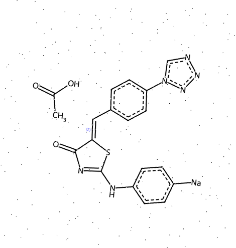 CC(=O)O.O=C1N=C(Nc2cc[c]([Na])cc2)S/C1=C\c1ccc(-n2cnnn2)cc1